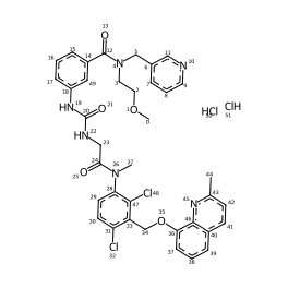 COCCN(Cc1cccnc1)C(=O)c1cccc(NC(=O)NCC(=O)N(C)c2ccc(Cl)c(COc3cccc4ccc(C)nc34)c2Cl)c1.Cl.Cl